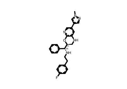 Cn1cc(-c2cnc3c(c2)NC[C@@H]([C@H](NCCc2ccc(F)cc2)c2ccccc2)O3)cn1